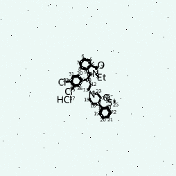 CCN1C(=O)c2ccccc2[C@H]1[C@@H](CCN1CCC(c2ccccc2[S+](C)[O-])CC1)c1ccc(Cl)c(Cl)c1.Cl